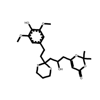 COc1cc(CCC2(CC(O)CC3=CC(=O)OC(C)(C)O3)SCCCS2)cc(OC)c1O